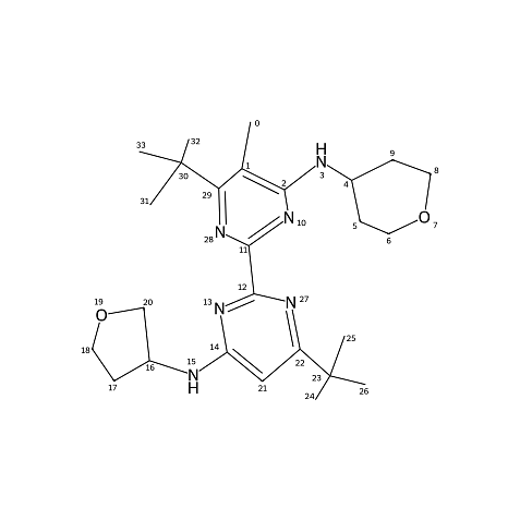 Cc1c(NC2CCOCC2)nc(-c2nc(NC3CCOC3)cc(C(C)(C)C)n2)nc1C(C)(C)C